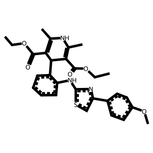 CCOC(=O)C1=C(C)NC(C)=C(C(=O)OCC)C1c1ccccc1Nc1nc(-c2ccc(OC)cc2)cs1